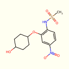 CS(=O)(=O)Nc1ccc([N+](=O)[O-])cc1OC1CCC(O)CC1